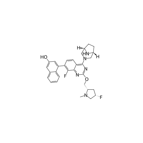 CN1C[C@@H](F)C[C@H]1COc1nc(N2C[C@H]3CC[C@@H](C2)N3)c2ccc(-c3cc(O)cc4ccccc34)c(F)c2n1